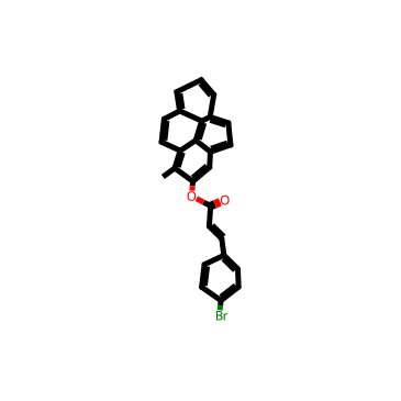 Cc1c(OC(=O)C=Cc2ccc(Br)cc2)cc2ccc3cccc4ccc1c2c34